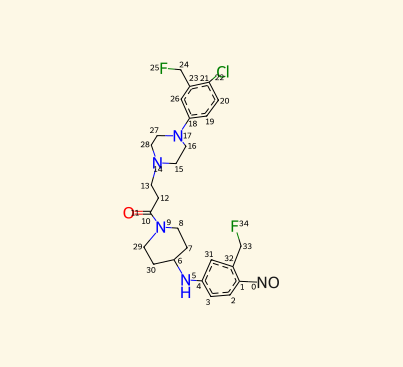 O=Nc1ccc(NC2CCN(C(=O)CCN3CCN(c4ccc(Cl)c(CF)c4)CC3)CC2)cc1CF